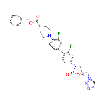 O=C(OCc1ccccc1)C1CCN(c2ccc(-c3ccc(N4C[C@H](Cn5ccnn5)OC4=O)cc3F)cc2F)CC1